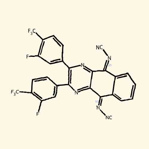 [C-]#[N+]/N=C1\c2ccccc2/C(=N/C#N)c2nc(-c3ccc(C(F)(F)F)c(F)c3)c(-c3ccc(C(F)(F)F)c(F)c3)nc21